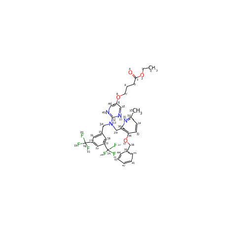 CCOC(=O)CCCOc1cnc(N(Cc2cc(C(F)(F)F)cc(C(F)(F)F)c2)Cc2nc(C)ccc2OCc2ccccc2)nc1